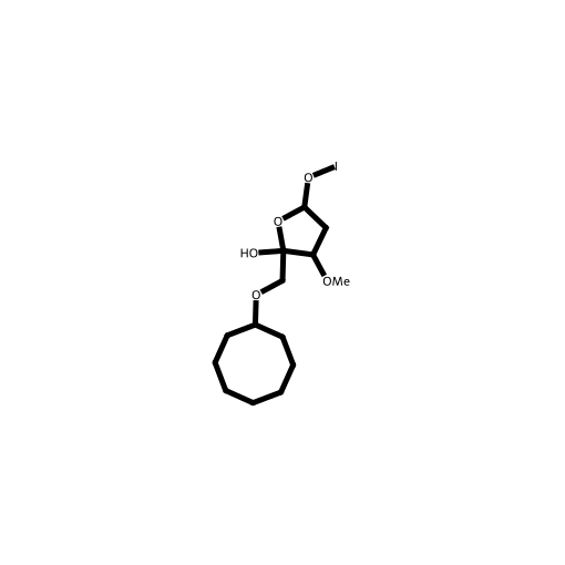 COC1CC(OI)OC1(O)COC1CCCCCCC1